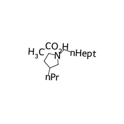 CC(=O)O.CCCCCCCCN1CCC(CCC)C1